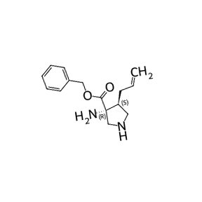 C=CC[C@H]1CNC[C@@]1(N)C(=O)OCc1ccccc1